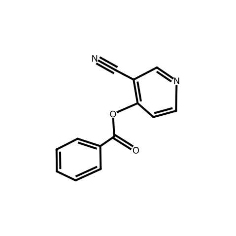 N#Cc1cnccc1OC(=O)c1ccccc1